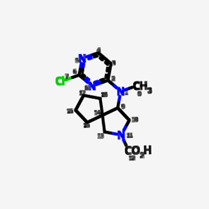 CN(c1ccnc(Cl)n1)C1CN(C(=O)O)CC12CCCC2